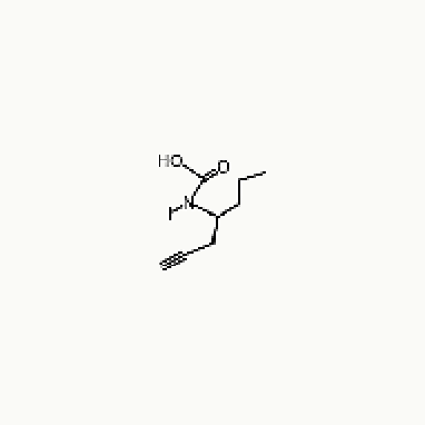 C#CCC(CCC)N(I)C(=O)O